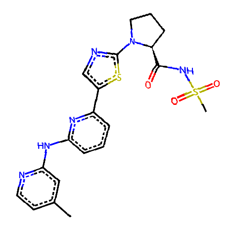 Cc1ccnc(Nc2cccc(-c3cnc(N4CCC[C@H]4C(=O)NS(C)(=O)=O)s3)n2)c1